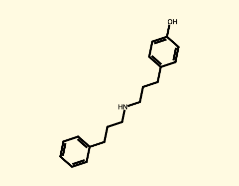 Oc1ccc(CCCNCCCc2ccccc2)cc1